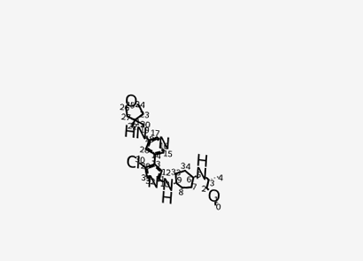 COC[C@@H](C)N[C@H]1CC[C@H](Nc2cc(-c3cncc(NCC4(C)CCOCC4)c3)c(Cl)cn2)CC1